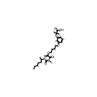 CCCCCC(C)n1nc(OCCCCOc2cccc(SC(C)(C)C(=O)O)c2)c(=O)n(C)c1=O